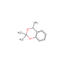 [CH2]C1OC(C)(C)Oc2ccccc21